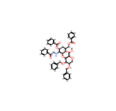 COC(=O)C1OCC(OCc2ccccc2)C(OCc2ccccc2)C1OC1CC(COC(=O)c2ccccc2)CC(OC(=O)c2ccccc2)C1NCC(=O)c1ccccc1